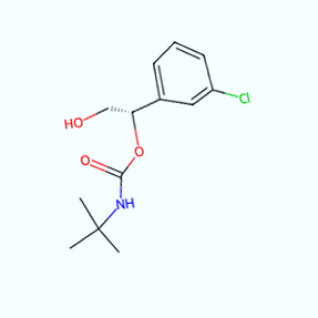 CC(C)(C)NC(=O)O[C@H](CO)c1cccc(Cl)c1